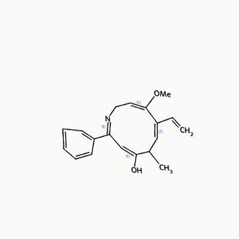 C=CC1=C/C(C)/C(O)=C\C(c2ccccc2)=N/C/C=C\1OC